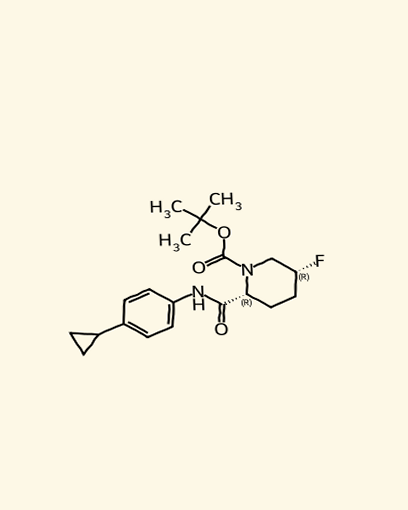 CC(C)(C)OC(=O)N1C[C@H](F)CC[C@@H]1C(=O)Nc1ccc(C2CC2)cc1